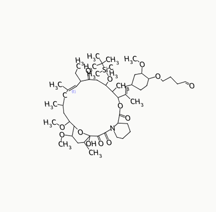 CCC1/C=C(\C)CC(C)CC(OC)C2OC(O)(C(=O)C(=O)N3CCCCC3C(=O)OC(C(C)=CC3CCC(OCCCC=O)C(OC)C3)C(C)C(O[Si](C)(C)C(C)(C)C)CC1=O)C(C)CC2OC